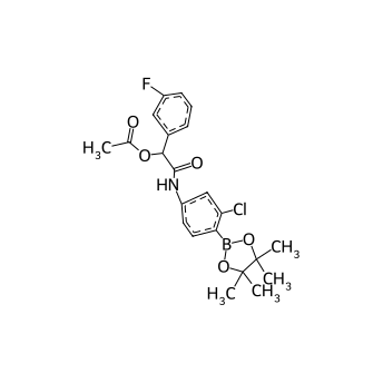 CC(=O)OC(C(=O)Nc1ccc(B2OC(C)(C)C(C)(C)O2)c(Cl)c1)c1cccc(F)c1